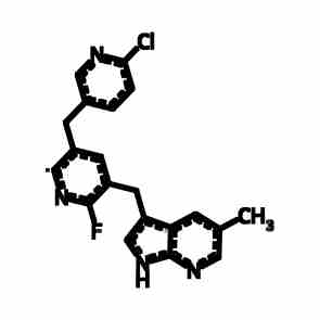 Cc1cnc2[nH]cc(Cc3cc(Cc4ccc(Cl)nc4)[c]nc3F)c2c1